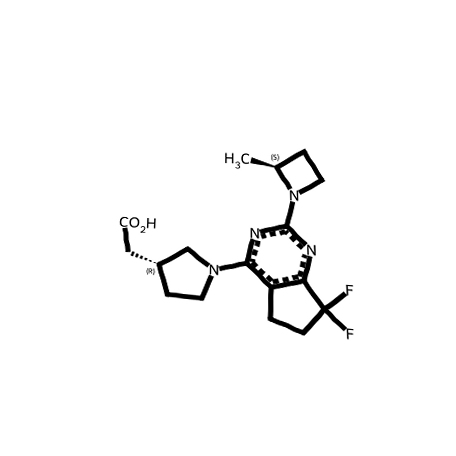 C[C@H]1CCN1c1nc(N2CC[C@H](CC(=O)O)C2)c2c(n1)C(F)(F)CC2